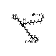 CCCCC/C=C\C/C=C\CCCCCCCCNN(CCCCCCCC/C=C\C/C=C\CCCCC)CCCCN1CCCC1